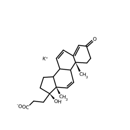 C[C@]12CCC(=O)C=C1C=CC1C2C=C[C@@]2(C)C1CC[C@@]2(O)CCC(=O)[O-].[K+]